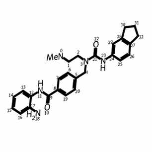 CNCCN(Cc1ccc(C(=O)Nc2ccccc2N)cc1)C(=O)Nc1ccc2c(c1)CCC2